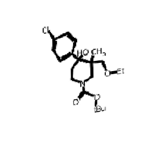 CCOCC1(C)CN(C(=O)OC(C)(C)C)CCC1(O)c1ccc(Cl)cc1